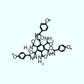 COc1ccc(-c2nnc(-c3c(C(N)=O)c(-c4nnc(-c5ccc(OC)cc5)o4)c(C(N)=O)c(-c4nnc(-c5ccc(OC)cc5)o4)c3C(N)=O)o2)cc1